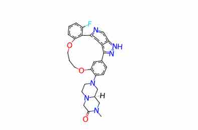 CN1C[C@@H]2CN(c3ccc4cc3OCCCOc3cccc(F)c3-c3cc5c-4n[nH]c5cn3)CCN2CC1=O